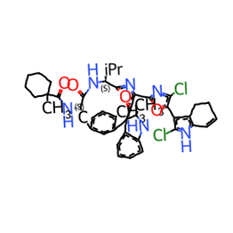 Cc1ccc2cc1C1(c3ccccc3NC1C)c1oc(nc1-c1nc(Cl)c(-c3c(Cl)[nH]c4c3CCC=C4)o1)[C@H](C(C)C)NC(=O)[C@@H](NC(=O)C1(C)CCCCC1)C2